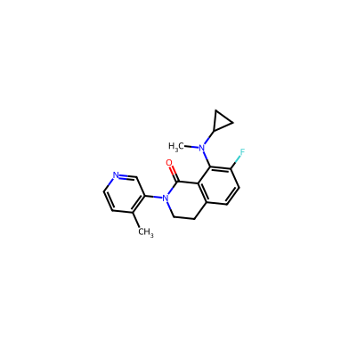 Cc1ccncc1N1CCc2ccc(F)c(N(C)C3CC3)c2C1=O